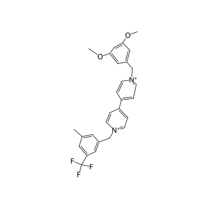 COc1cc(C[n+]2ccc(-c3cc[n+](Cc4cc(C)cc(C(F)(F)F)c4)cc3)cc2)cc(OC)c1